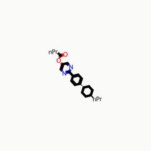 CCCC(=O)Oc1cnc(-c2ccc([C@H]3CC[C@H](CCC)CC3)cc2)nc1